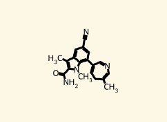 CC1=CN=CC(c2cc(C#N)cc3c(C)c(C(N)=O)n(C)c23)=CC1